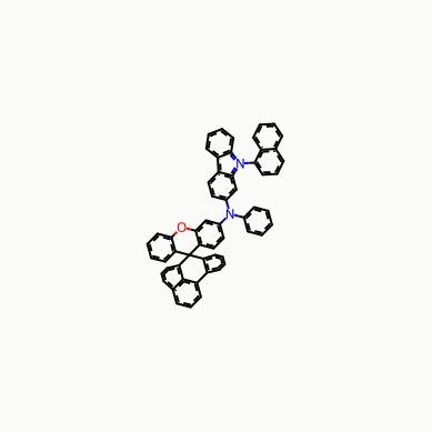 c1ccc(N(c2ccc3c(c2)Oc2ccccc2C32c3ccccc3-c3cccc4cccc2c34)c2ccc3c4ccccc4n(-c4cccc5ccccc45)c3c2)cc1